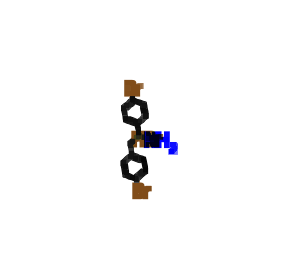 Br.NC(Cc1ccc(Br)cc1)c1ccc(Br)cc1